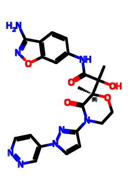 CC(O)(C(=O)Nc1ccc2c(N)noc2c1)[C@@]1(C)OCCN(c2ccn(-c3ccnnc3)n2)C1=O